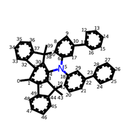 Cc1c2c(c(N(c3cccc(-c4ccccc4)c3)c3cccc(-c4ccccc4)c3)c3c1-c1ccccc1C3(C)C)C(C)(C)c1ccccc1-2